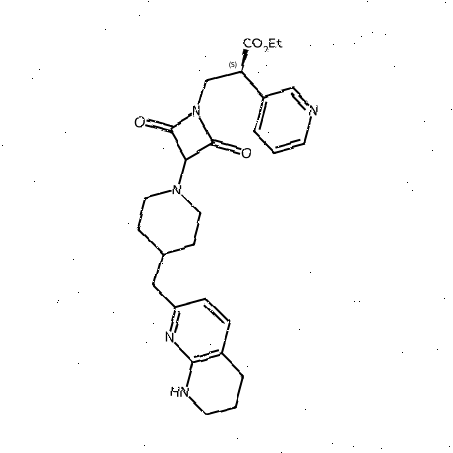 CCOC(=O)[C@H](CN1C(=O)C(N2CCC(Cc3ccc4c(n3)NCCC4)CC2)C1=O)c1cccnc1